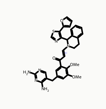 COc1cc(Cc2cnc(N)nc2N)cc(C(=O)/C=C/N2CCc3ccccc3C2c2ncsc2-c2ccco2)c1OC